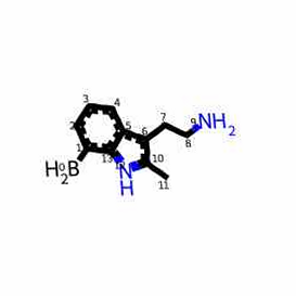 Bc1cccc2c(CCN)c(C)[nH]c12